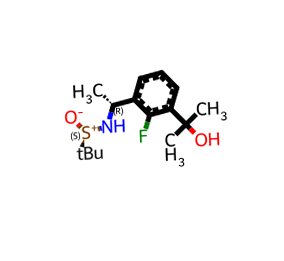 C[C@@H](N[S@+]([O-])C(C)(C)C)c1cccc(C(C)(C)O)c1F